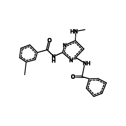 CNc1cc(NC(=O)c2ccccc2)nc(NC(=O)c2cccc(C)c2)n1